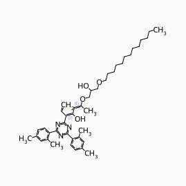 C=C/C(=C(O)\C=C(/C)OCC(O)COCCCCCCCCCCCCC)c1nc(-c2ccc(C)cc2C)nc(-c2ccc(C)cc2C)n1